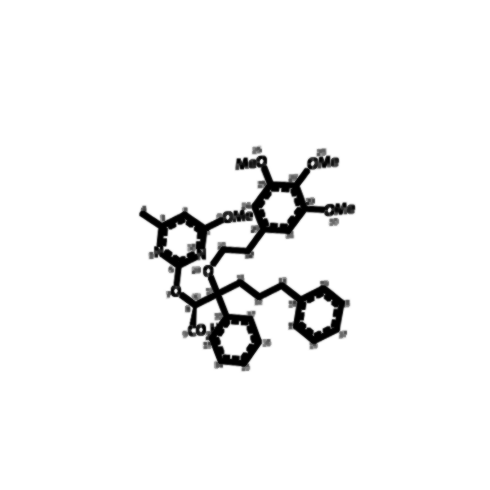 COc1cc(C)nc(O[C@H](C(=O)O)C(CCCc2ccccc2)(OCCc2cc(OC)c(OC)c(OC)c2)c2ccccc2)n1